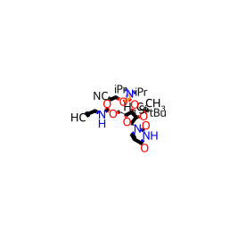 C#CCNC(=O)OC[C@H]1O[C@@H](n2ccc(=O)[nH]c2=O)C(O[Si](C)(C)C(C)(C)C)C1OP(OCCC#N)N(C(C)C)C(C)C